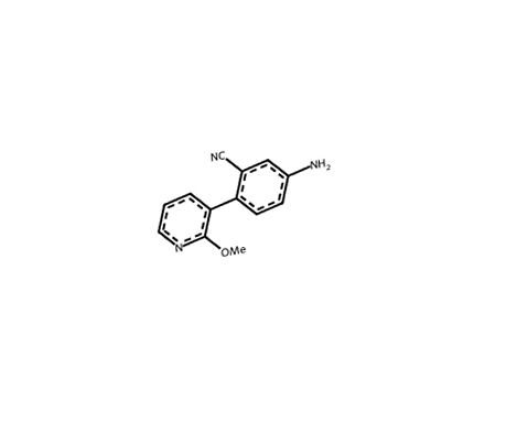 COc1ncccc1-c1ccc(N)cc1C#N